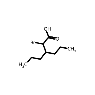 CCCC(CCC)C(Br)C(=O)O